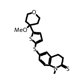 COC1(c2ccc(Sc3ccc4c(c3)CCC(=S)N4C)s2)CCOCC1